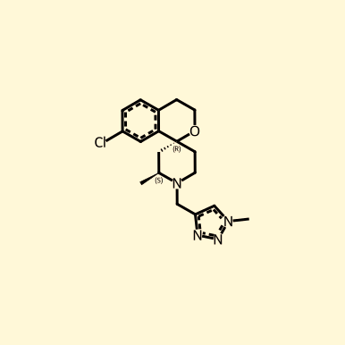 C[C@H]1C[C@@]2(CCN1Cc1cn(C)nn1)OCCc1ccc(Cl)cc12